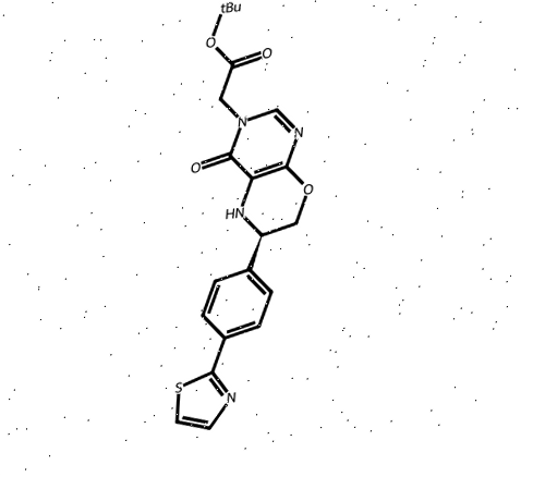 CC(C)(C)OC(=O)Cn1cnc2c(c1=O)N[C@H](c1ccc(-c3nccs3)cc1)CO2